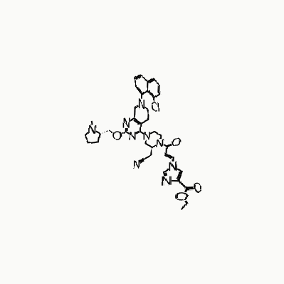 CCOC(=O)c1cn(/C=C/C(=O)N2CCN(c3nc(OC[C@@H]4CCCN4C)nc4c3CCN(c3cccc5cccc(Cl)c35)C4)C[C@@H]2CC#N)cn1